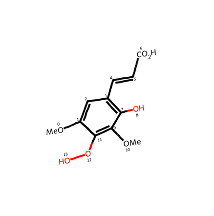 COc1cc(C=CC(=O)O)c(O)c(OC)c1OO